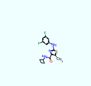 Cc1sc(Nc2cc(F)cc(F)c2)nc1C(=O)NC1CCC1